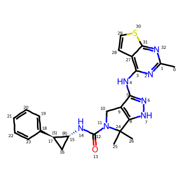 Cc1nc(Nc2n[nH]c3c2CN(C(=O)N[C@@H]2C[C@H]2c2ccccc2)C3(C)C)c2ccsc2n1